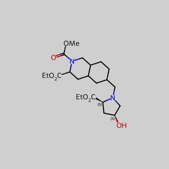 CCOC(=O)C1CC2CC(CN3C[C@@H](O)C[C@H]3C(=O)OCC)CCC2CN1C(=O)OC